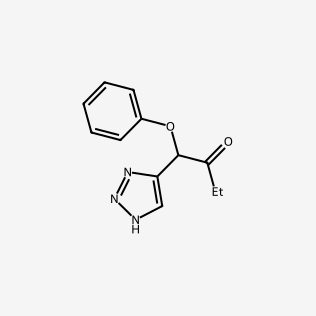 CCC(=O)C(Oc1ccccc1)c1c[nH]nn1